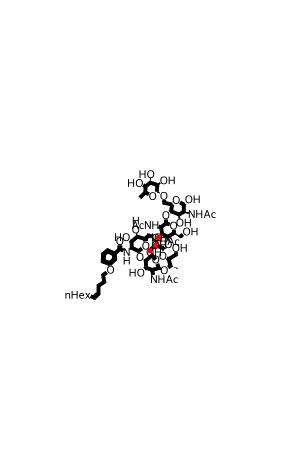 CCCCCC/C=C\CCCOc1cccc(C(=O)N[C@@H]2C(O[C@H]3C(O)C(NC(C)=O)[C@H](O[C@@H](C)C(CO)O[C@@H](O[C@H]4C(O)C(NC(C)=O)C(OC5C(CO[C@@H]6OC(C)C(O)[C@H](O)[C@H]6O)OC(O)[C@@H](NC(C)=O)[C@H]5O)O[C@H]4CO)[C@H](CO)NC(C)=O)O[C@H]3CO)OC(CO)[C@@H](O)C2O)c1